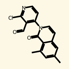 Cc1cc(C)c2c(=O)n(-c3ccnc(Cl)c3C=O)ccc2c1